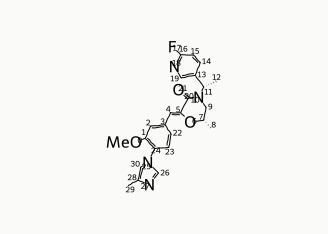 COc1cc(/C=C2\O[C@@H](C)CN([C@@H](C)c3ccc(F)nc3)C2=O)ccc1-n1cnc(C)c1